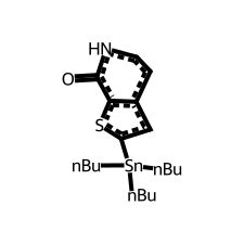 CCC[CH2][Sn]([CH2]CCC)([CH2]CCC)[c]1cc2cc[nH]c(=O)c2s1